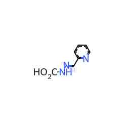 O=C(O)N/N=C/c1ccccn1